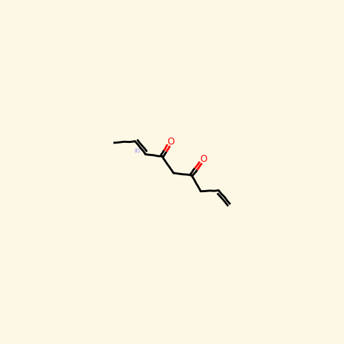 C=CCC(=O)CC(=O)/C=C/C